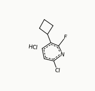 Cl.Fc1nc(Cl)ccc1C1CCC1